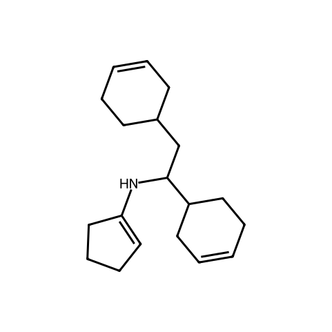 C1=CCC(CC(NC2=CCCC2)C2CC=CCC2)CC1